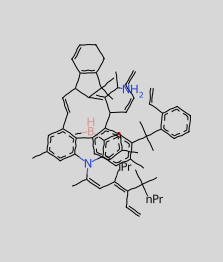 C=C/C=C\C1/C(C(C)N)=C2/C(/C=C/c3cc(C)cc(N(/C(C)=C\C(=C(/C=C)C(C)(C)CCC)C(C)C)c4cc(C)c(C(C)(C)c5ccccc5C=C)cc4BC)c3-c3ccc(C)cc31)C1=C(CCC=C1)C2(C)C